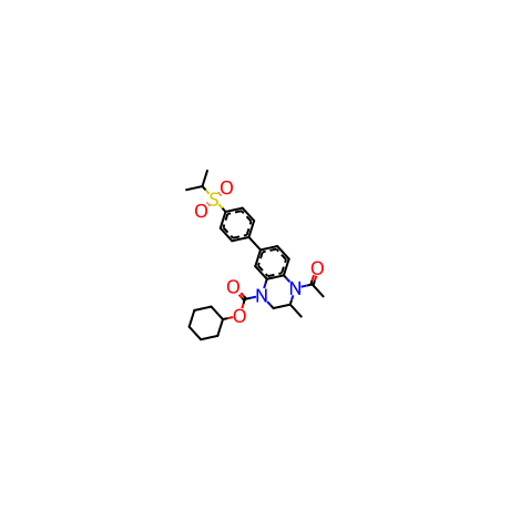 CC(=O)N1c2ccc(-c3ccc(S(=O)(=O)C(C)C)cc3)cc2N(C(=O)OC2CCCCC2)CC1C